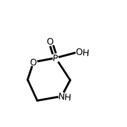 O=P1(O)CNCCO1